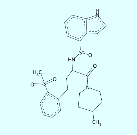 CC1CCN(C(=O)C(CCc2ccccc2S(C)(=O)=O)N[S+]([O-])c2cccc3[nH]ccc23)CC1